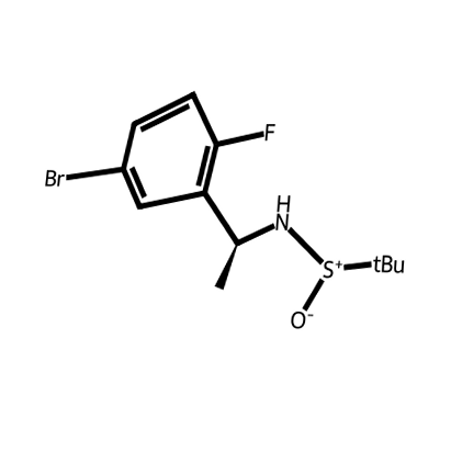 C[C@H](N[S+]([O-])C(C)(C)C)c1cc(Br)ccc1F